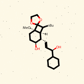 CCCCC1[C@H]2[C@H](/C=C/[C@@H](O)C3CCCCC3)[C@@H](O)CC[C@@]2(OC)C12OCCO2